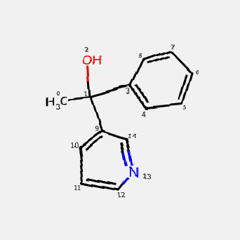 CC(O)(c1ccccc1)c1cccnc1